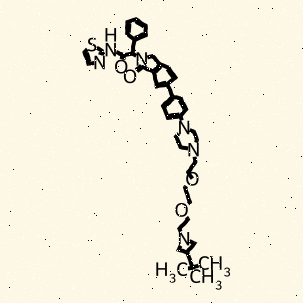 CC(C)(C)C1CN(CCOCCOCCN2CCN(c3ccc(-c4ccc5c(c4)C(=O)N(C(C(=O)Nc4nccs4)c4ccccc4)C5)cc3)CC2)C1